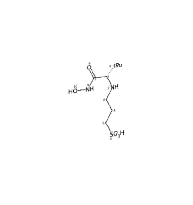 CC(C)(C)[C@H](NCCCS(=O)(=O)O)C(=O)NO